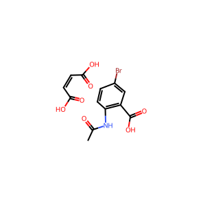 CC(=O)Nc1ccc(Br)cc1C(=O)O.O=C(O)/C=C\C(=O)O